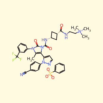 Cc1c(-c2ccnn2-c2ccc(C#N)cc2)n(C(=O)N[C@H]2C[C@@H](C(=O)NCC[N+](C)(C)C)C2)c(=O)n1-c1cccc(C(F)(F)F)c1.O=S(=O)([O-])c1ccccc1